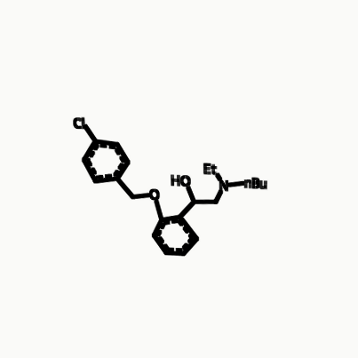 CCCCN(CC)CC(O)c1ccccc1OCc1ccc(Cl)cc1